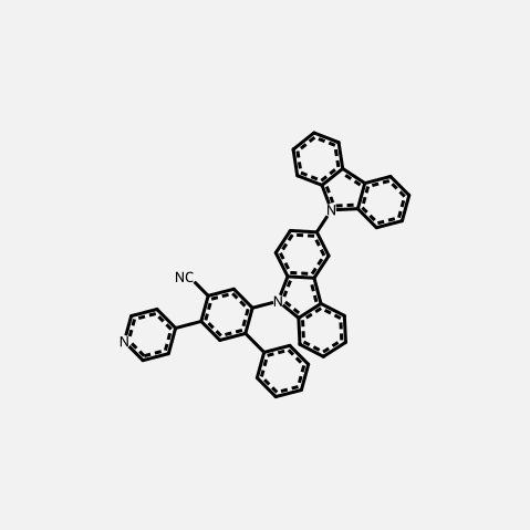 N#Cc1cc(-n2c3ccccc3c3cc(-n4c5ccccc5c5ccccc54)ccc32)c(-c2ccccc2)cc1-c1ccncc1